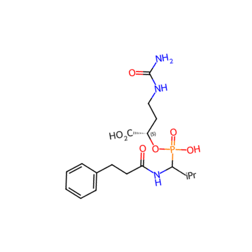 CC(C)C(NC(=O)CCc1ccccc1)P(=O)(O)O[C@@H](CCNC(N)=O)C(=O)O